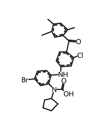 Cc1cc(C)c(C(=O)c2ccc(Nc3ccc(Br)cc3N(C(=O)O)C3CCCC3)cc2Cl)cc1C